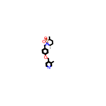 Cc1cnccc1COc1ccc(CN2[C@@H](C)CCC(C)S2(=O)=O)cc1